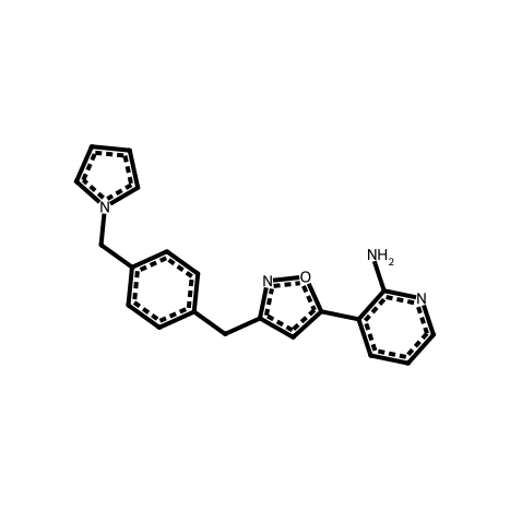 Nc1ncccc1-c1cc(Cc2ccc(Cn3cccc3)cc2)no1